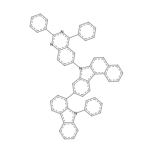 c1ccc(-c2nc(-c3ccccc3)c3cc(-n4c5cc(-c6cccc7c8ccccc8n(-c8ccccc8)c67)ccc5c5c6ccccc6ccc54)ccc3n2)cc1